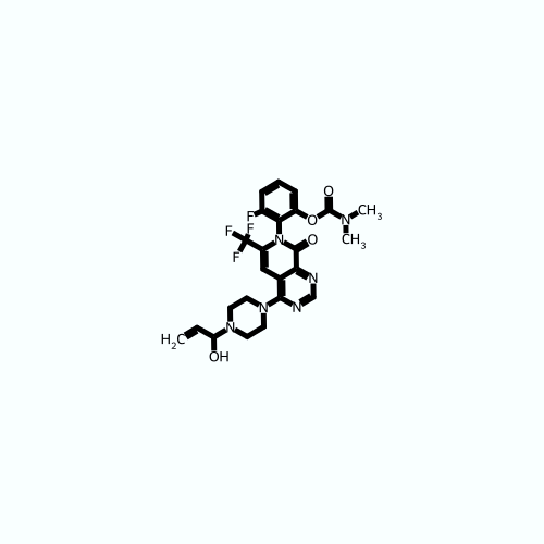 C=CC(O)N1CCN(c2ncnc3c(=O)n(-c4c(F)cccc4OC(=O)N(C)C)c(C(F)(F)F)cc23)CC1